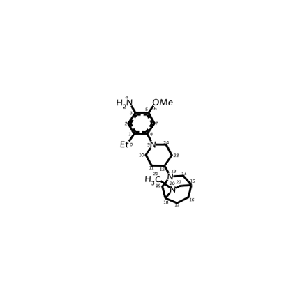 CCc1cc(N)c(OC)cc1N1CCC(N2CC3CCC(C2)N(C)C3)CC1